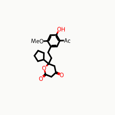 COc1cc(O)c(C(C)=O)cc1CCC1(C2CCCC2)CC(=O)CC(=O)O1